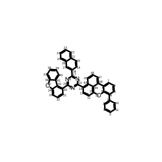 c1ccc(-c2cccc3c2Oc2ccc(-c4nc(-c5ccc6ccccc6c5)nc(-c5cccc6oc7ccccc7c56)n4)c4cccc-3c24)cc1